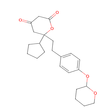 O=C1CC(=O)OC(CCc2ccc(OC3CCCCO3)cc2)(C2CCCC2)C1